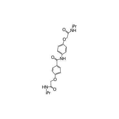 CC(C)NC(=O)COc1ccc(NC(=O)c2ccc(OCC(=O)NC(C)C)cc2)cc1